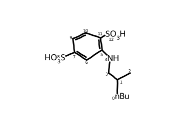 CCCCC(C)CNc1cc(S(=O)(=O)O)ccc1S(=O)(=O)O